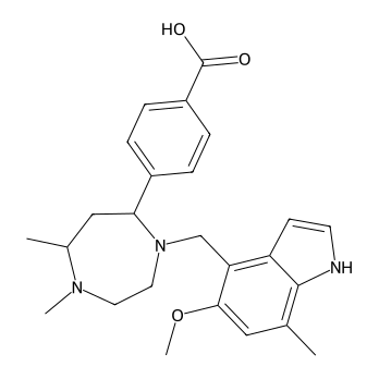 COc1cc(C)c2[nH]ccc2c1CN1CCN(C)C(C)CC1c1ccc(C(=O)O)cc1